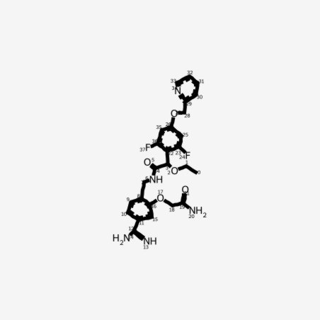 CCOC(C(=O)NCc1ccc(C(=N)N)cc1OCC(N)=O)c1c(F)cc(OCc2ccccn2)cc1F